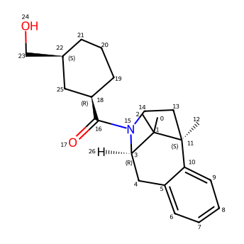 CC1(C)[C@H]2Cc3ccccc3[C@]1(C)CCN2C(=O)[C@@H]1CCC[C@H](CO)C1